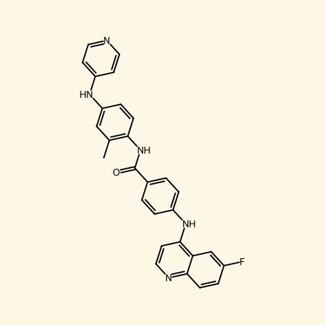 Cc1cc(Nc2ccncc2)ccc1NC(=O)c1ccc(Nc2ccnc3ccc(F)cc23)cc1